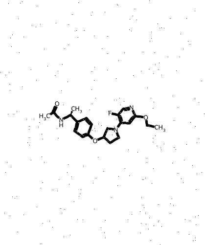 CCOc1cc(N2CCC(Oc3ccc([C@H](C)NC(C)=O)cc3)C2)c(F)cn1